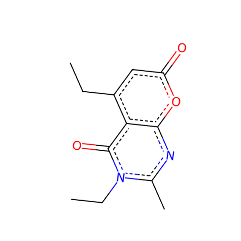 CCc1cc(=O)oc2nc(C)n(CC)c(=O)c12